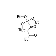 CCOC(OCC)(OCC)C(=O)CC(=O)CC.[Ti]